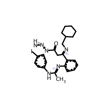 C/C(=N\c1ccccc1/C(CC(=O)N=NN)=N/CC1CCCCC1)Nc1ccc(I)cc1